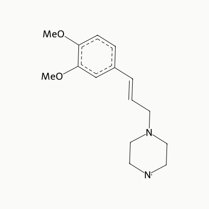 COc1ccc(C=CCN2CC[N]CC2)cc1OC